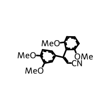 COc1ccc(C(=CC#N)c2c(OC)cccc2OC)cc1OC